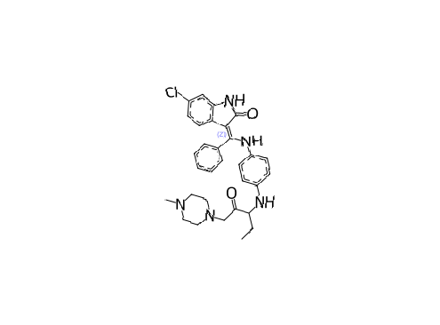 CCC(Nc1ccc(N/C(=C2\C(=O)Nc3cc(Cl)ccc32)c2ccccc2)cc1)C(=O)CN1CCN(C)CC1